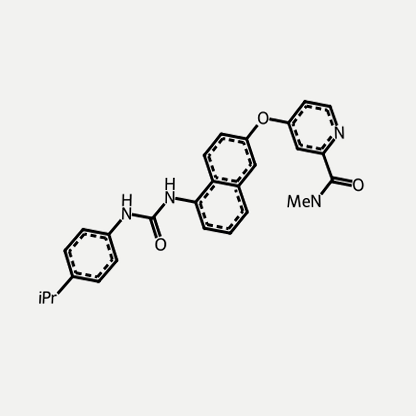 CNC(=O)c1cc(Oc2ccc3c(NC(=O)Nc4ccc(C(C)C)cc4)cccc3c2)ccn1